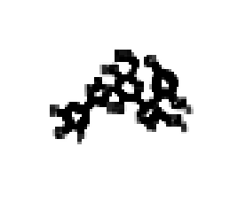 Cc1ccc(Cl)cc1-n1c(C)nnc1[C@@H]1O[C@H](CO)[C@H](O)[C@H](n2cc(-c3cc(F)c(Cl)c(F)c3)nn2)[C@H]1O